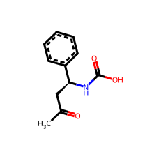 CC(=O)C[C@H](NC(=O)O)c1ccccc1